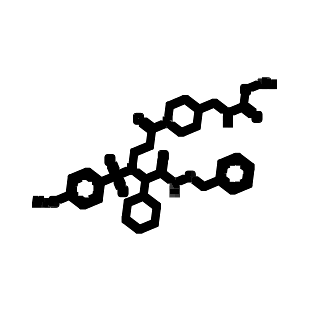 COc1ccc(S(=O)(=O)N(CCC(=O)N2CCC(CNC(=O)OC(C)(C)C)CC2)C(C(=O)NOCc2ccccc2)C2CCCCC2)cc1